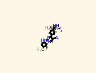 Cc1ccc(Nc2ncc(C#N)c(-c3ccc(C(C)(C)N)cc3)n2)cc1F